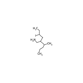 CCCC(C)C(CN)CC(I)CC